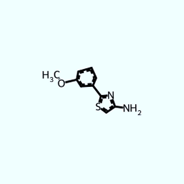 COc1cccc(-c2nc(N)cs2)c1